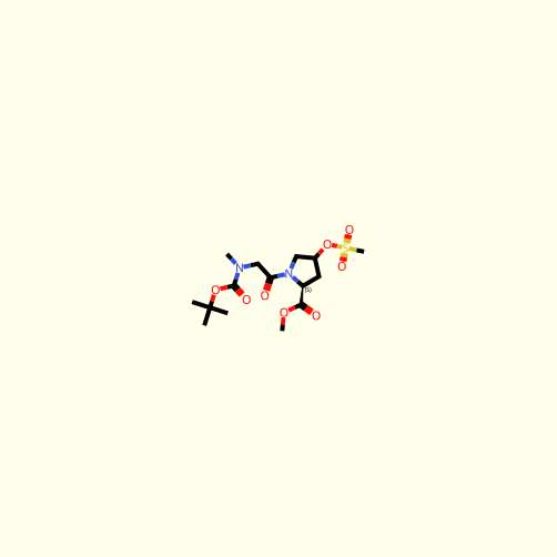 COC(=O)[C@@H]1CC(OS(C)(=O)=O)CN1C(=O)CN(C)C(=O)OC(C)(C)C